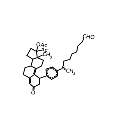 CC(=O)OC1(C(C)=O)CCC2C3CCC4=CC(=O)CC(c5ccc(N(C)CCCCCCC=O)cc5)C4=C3CCC21C